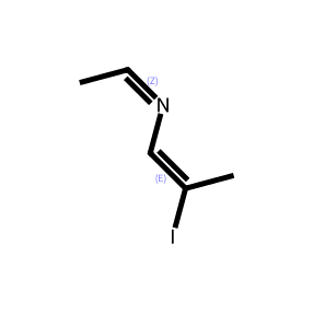 C/C=N\C=C(/C)I